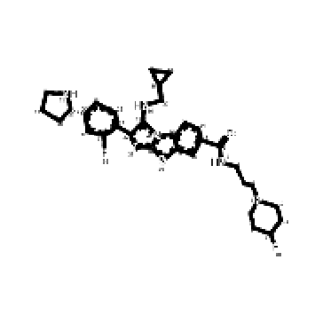 O=C(NCCCN1CCC(F)CC1)c1ccc2c(c1)sc1nc(-c3ccc([C@@H]4CCCN4)cc3F)c(NCC3CC3)n12